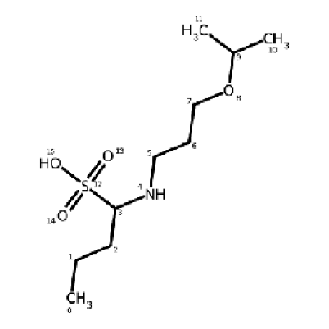 CCCC(NCCCOC(C)C)S(=O)(=O)O